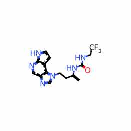 C=C(CCn1cnc2cnc3[nH]ccc3c21)NC(=O)NCC(F)(F)F